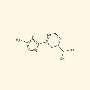 OC(O)c1cc(-c2ncc(C(F)(F)F)[nH]2)ncn1